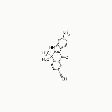 C#Cc1ccc2c(c1)C(=O)c1c([nH]c3cc(N)ccc13)C2(C)C